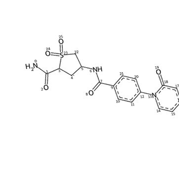 NC(=O)C1[CH]C(NC(=O)c2ccc(-n3ccccc3=O)cc2)CS1(=O)=O